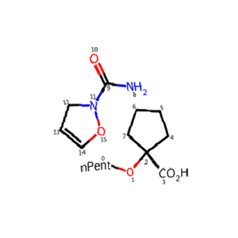 CCCCCOC1(C(=O)O)CCCC1.NC(=O)N1CC=CO1